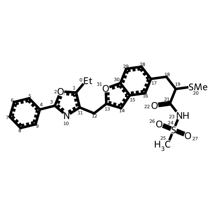 CCc1oc(-c2ccccc2)nc1Cc1cc2cc(CC(SC)C(=O)NS(C)(=O)=O)ccc2o1